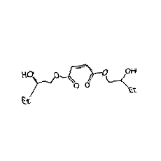 CCC(O)COC(=O)/C=C\C(=O)OCC(O)CC